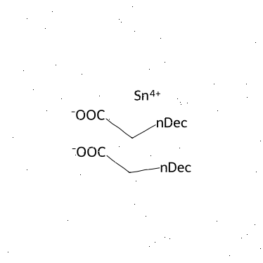 CCCCCCCCCCCC(=O)[O-].CCCCCCCCCCCC(=O)[O-].[Sn+4]